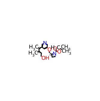 C[C@H](CCO)[C@H](C)c1cncc(OC[C@@H]2CCN2C(=O)OC(C)(C)C)c1